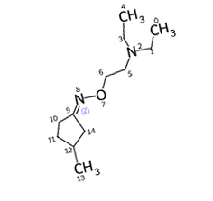 CCN(CC)CCO/N=C1/CCC(C)C1